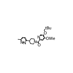 COc1cc(C(=O)N2CCC(c3ccc(C)nn3)CC2)ncc1OCC(C)(C)C